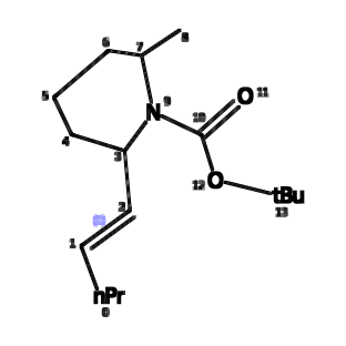 CCC/C=C/C1CCCC(C)N1C(=O)OC(C)(C)C